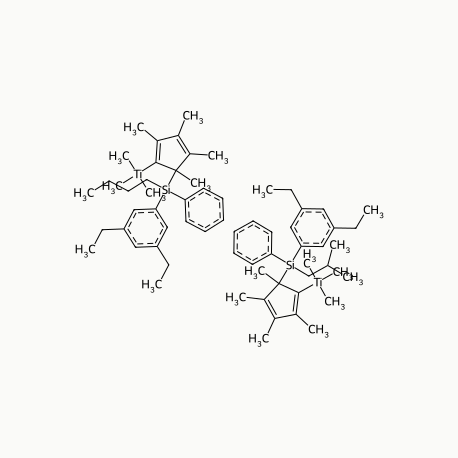 CCCC[Si](c1ccccc1)(c1cc(CC)cc(CC)c1)C1(C)C(C)=C(C)C(C)=[C]1[Ti]([CH3])([CH3])[CH3].CCc1cc(CC)cc([Si](CC(C)C)(c2ccccc2)C2(C)C(C)=C(C)C(C)=[C]2[Ti]([CH3])([CH3])[CH3])c1